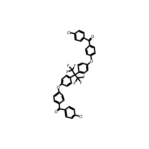 O=C(c1ccc(Cl)cc1)c1ccc(Oc2ccc(C(c3ccc(Oc4ccc(C(=O)c5ccc(Cl)cc5)cc4)cc3)(C(F)(F)F)C(F)(F)F)cc2)cc1